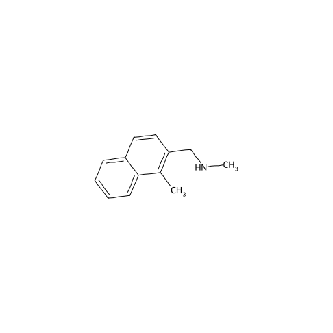 CNCc1ccc2ccccc2c1C